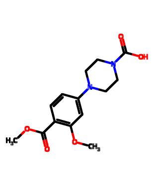 COC(=O)c1ccc(N2CCN(C(=O)O)CC2)cc1OC